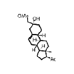 COC[C@@]1(O)CC[C@H]2C(=CC[C@@H]3[C@@H]2CC[C@]2(C)[C@@H](C(C)=O)CC[C@@H]32)C1